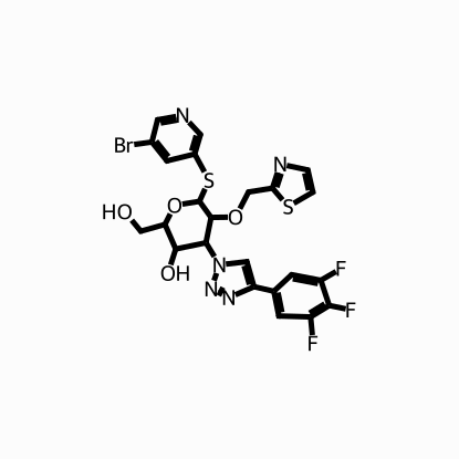 OCC1OC(Sc2cncc(Br)c2)C(OCc2nccs2)C(n2cc(-c3cc(F)c(F)c(F)c3)nn2)C1O